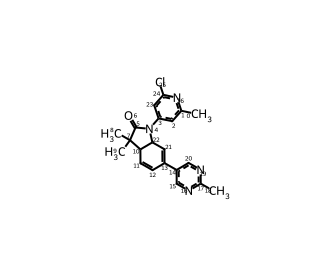 Cc1cc(N2C(=O)C(C)(C)C3C=CC(c4cnc(C)nc4)=CC32)cc(Cl)n1